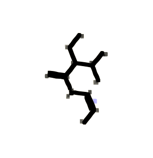 C=C(S/C=C\C)C(CC)C(C)C